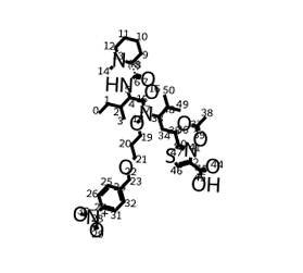 CCC(C)C(NC(=O)[C@H]1CCCCN1C)C(=O)N(OCCCOCc1ccc([N+](=O)[O-])cc1)C(CC(OC(C)=O)c1nc(C(=O)O)cs1)C(C)C